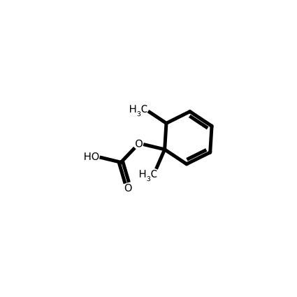 CC1C=CC=CC1(C)OC(=O)O